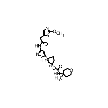 COc1ncc(CC(=O)Nc2cc([C@H]3CC[C@@H](OC(=O)NC4(C)CCOCC4)C3)[nH]n2)s1